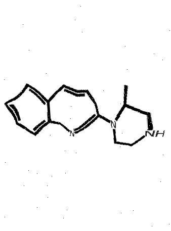 CC1CNCCN1c1ccc2ccccc2n1